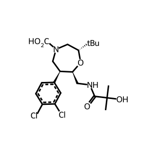 CC(C)(O)C(=O)NC[C@@H]1O[C@@H](C(C)(C)C)CN(C(=O)O)C[C@@H]1c1ccc(Cl)c(Cl)c1